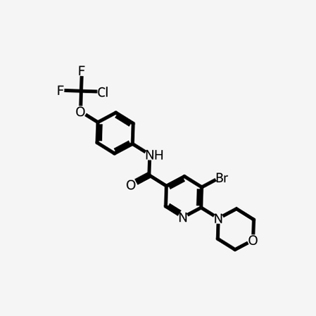 O=C(Nc1ccc(OC(F)(F)Cl)cc1)c1cnc(N2CCOCC2)c(Br)c1